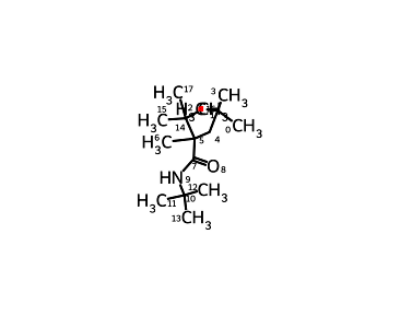 CC(C)(C)CC(C)(C(=O)NC(C)(C)C)C(C)(C)C